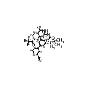 CC(C)(C)OC(=O)/N=C1/NC(=O)C2CCN(C(=O)C(F)(F)F)CC2(c2cccc(-c3cccc(C#N)c3)c2)N1